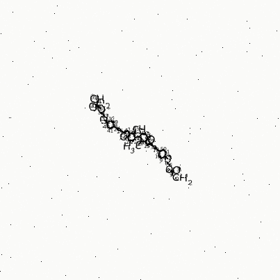 C=CC(=O)OCCOc1ccc(C#Cc2cc3c(C)c(-c4ccc5oc(C#Cc6ccc(OCCOC(=O)C=C)cc6)cc5c4C)ccc3o2)cc1